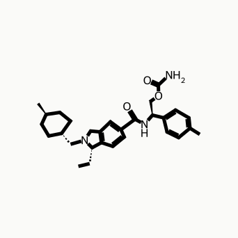 CC[C@H]1c2ccc(C(=O)N[C@@H](COC(N)=O)c3ccc(C)cc3)cc2CN1C[C@H]1CC[C@H](C)CC1